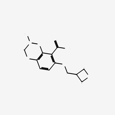 O=C(O)c1c(OCC2COC2)ccc2c1OB(O)CO2